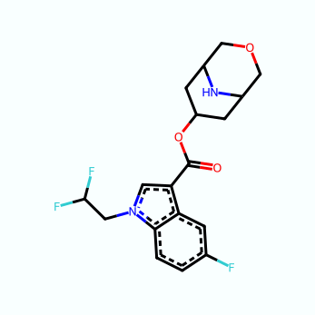 O=C(OC1CC2COCC(C1)N2)c1cn(CC(F)F)c2ccc(F)cc12